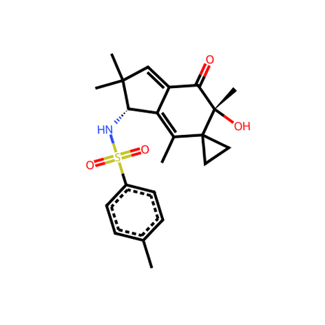 CC1=C2C(=CC(C)(C)[C@H]2NS(=O)(=O)c2ccc(C)cc2)C(=O)[C@](C)(O)C12CC2